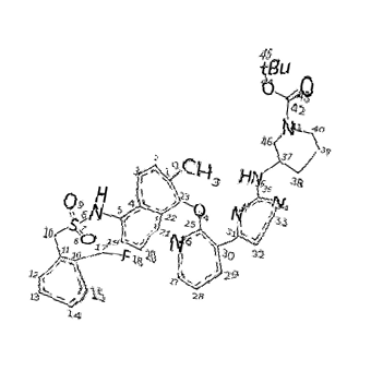 Cc1ccc2c(NS(=O)(=O)Cc3ccccc3CF)cccc2c1Oc1ncccc1-c1ccnc(NC2CCCN(C(=O)OC(C)(C)C)C2)n1